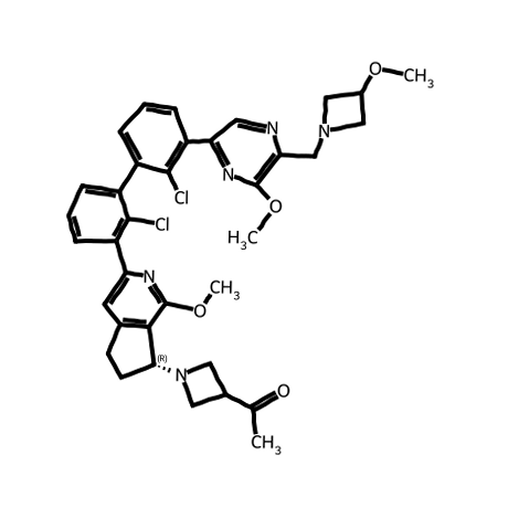 COc1nc(-c2cccc(-c3cccc(-c4cc5c(c(OC)n4)[C@H](N4CC(C(C)=O)C4)CC5)c3Cl)c2Cl)cnc1CN1CC(OC)C1